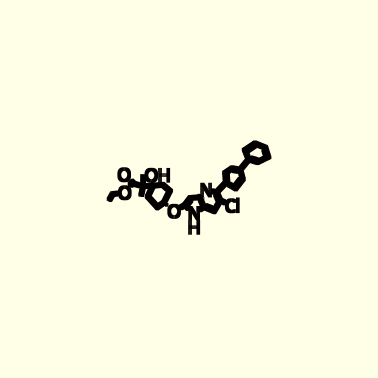 CCOC(=O)C(C)(C)[C@]1(O)CC[C@H](Oc2cc3nc(-c4ccc(-c5ccccc5)cc4)c(Cl)cc3[nH]2)CC1